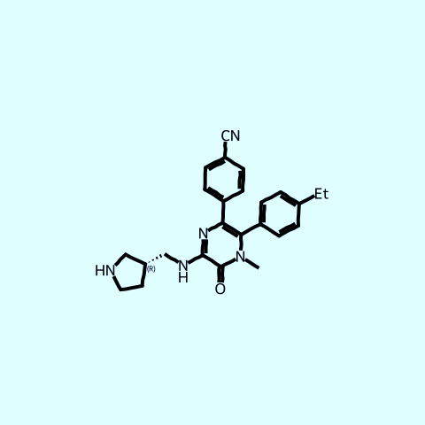 CCc1ccc(-c2c(-c3ccc(C#N)cc3)nc(NC[C@@H]3CCNC3)c(=O)n2C)cc1